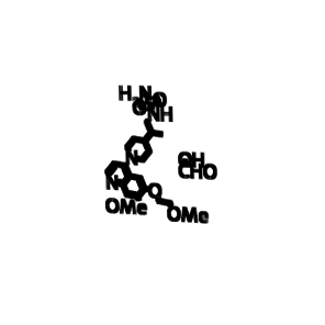 COCCOc1cc2c(N3CCC(C(C)CNS(N)(=O)=O)CC3)ccnc2cc1OC.O=CO